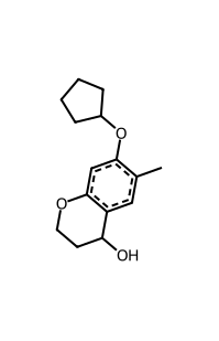 Cc1cc2c(cc1OC1CCCC1)OCCC2O